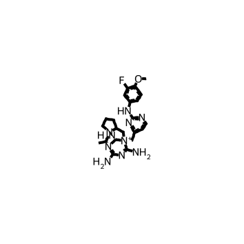 CCN1CCCC1C[N+]1(Cc2ccnc(Nc3ccc(OC)c(F)c3)n2)C(N)=NC(N)=NC1N